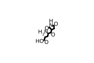 N[C@@H](CCC(=O)O)C(=O)C1CC(=O)NC1=O